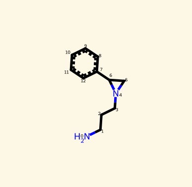 NCCCN1CC1c1ccccc1